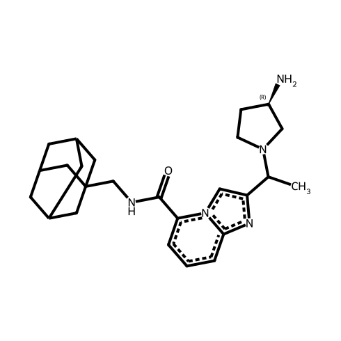 CC(c1cn2c(C(=O)NCC34CC5CC(CC(C5)C3)C4)cccc2n1)N1CC[C@@H](N)C1